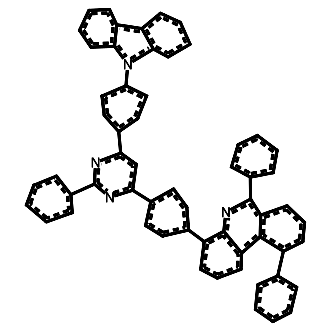 c1ccc(-c2nc(-c3ccc(-c4cccc5c4nc(-c4ccccc4)c4cccc(-c6ccccc6)c45)cc3)cc(-c3ccc(-n4c5ccccc5c5ccccc54)cc3)n2)cc1